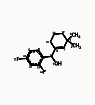 CC1(C)C=C(C(O)c2ccc(F)cc2F)CCC1